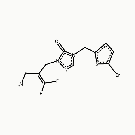 NCC(Cn1ncn(Cc2ccc(Br)s2)c1=O)=C(F)F